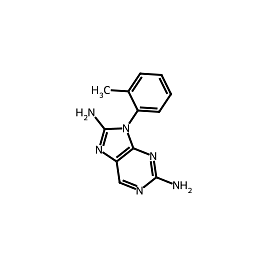 Cc1ccccc1-n1c(N)nc2cnc(N)nc21